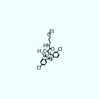 CCOCCCNC(=O)[C@@H](C)N(c1cc(Cl)ccc1F)S(=O)(=O)c1ccc(Cl)cc1